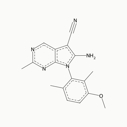 COc1ccc(C)c(-n2c(N)c(C#N)c3cnc(C)nc32)c1C